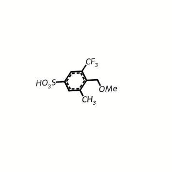 COCc1c(C)cc(S(=O)(=O)O)cc1C(F)(F)F